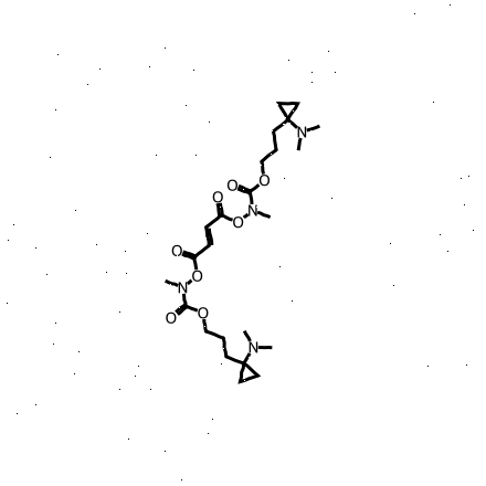 CN(OC(=O)/C=C/C(=O)ON(C)C(=O)OCCCC1(N(C)C)CC1)C(=O)OCCCC1(N(C)C)CC1